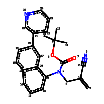 C=C(C#N)CN(C(=O)OC(C)(C)C)c1cccc2ccc(-c3cccnc3)cc12